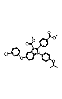 COC(=O)c1ccc(-c2c(C(=O)OC)c3cc(Oc4cccc(Cl)c4)ccc3n2-c2ccc(OC(C)C)cc2)cc1